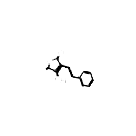 CC1=C(C=Cc2ccccc2)C(=O)OC1=O